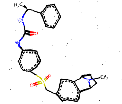 C[C@H](NC(=O)Nc1ccc(S(=O)(=O)Cc2ccc3c(c2)C2CCC3N2C)cc1)c1ccccc1